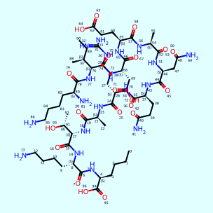 CCCC[C@H](NC(=O)[C@H](CCCCN)NC(=O)[C@@H](NC(=O)[C@H](C)NC(=O)[C@H](CCCNC(=N)N)NC(=O)[C@H](CCC(N)=O)NC(=O)[C@H](CC(N)=O)NC(=O)[C@H](C)NC(=O)[C@H](CCC(=O)O)NC(=O)[C@H](CC(=O)O)NC(=O)[C@@H](NC(=O)[C@@H](N)CCCCN)[C@@H](C)CC)[C@@H](C)O)C(=O)O